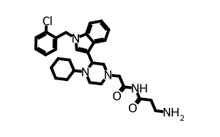 NCCC(=O)NC(=O)CN1CCN(C2CCCCC2)C(c2cn(Cc3ccccc3Cl)c3ccccc23)C1